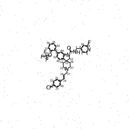 O=C(NCc1ccnc(F)c1)N1CC2(CCN(CC=Cc3ccc(Cl)cc3)CC2)c2ccc(-c3ccccc3OC(F)(F)F)cc21